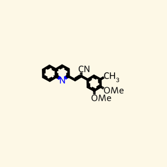 COc1cc(/C(C#N)=C/c2ccc3ccccc3n2)cc(C)c1OC